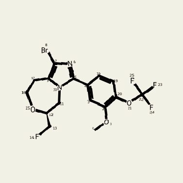 COc1cc(-c2nc(Br)c3n2C[C@@H](CF)OCC3)ccc1OC(F)(F)F